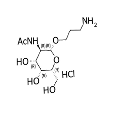 CC(=O)N[C@H]1[C@H](OCCCN)O[C@H](CO)[C@H](O)[C@@H]1O.Cl